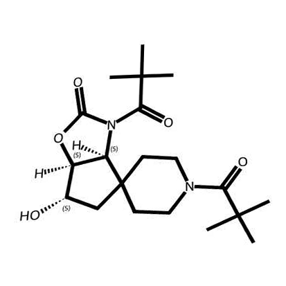 CC(C)(C)C(=O)N1CCC2(CC1)C[C@H](O)[C@H]1OC(=O)N(C(=O)C(C)(C)C)[C@H]12